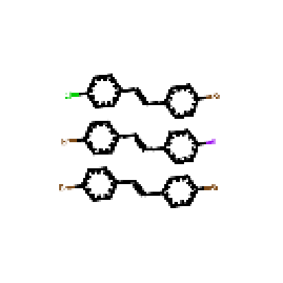 Brc1ccc(C=Cc2ccc(Br)cc2)cc1.Brc1ccc(C=Cc2ccc(I)cc2)cc1.Clc1ccc(C=Cc2ccc(Br)cc2)cc1